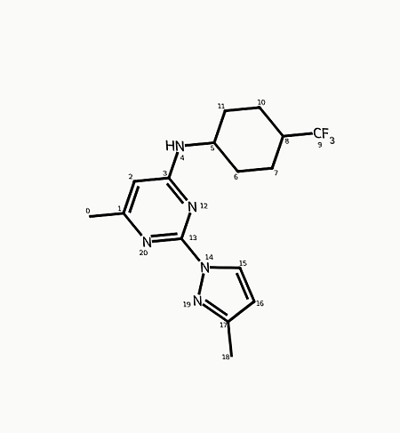 Cc1cc(NC2CCC(C(F)(F)F)CC2)nc(-n2ccc(C)n2)n1